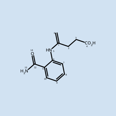 C=C(CCC(=O)O)Nc1ccccc1C(N)=O